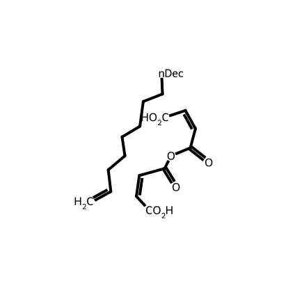 C=CCCCCCCCCCCCCCCCC.O=C(O)/C=C\C(=O)OC(=O)/C=C\C(=O)O